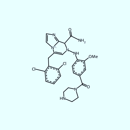 COc1cc(C(=O)N2CCNCC2)ccc1NN1C=C(Cc2c(Cl)cccc2Cl)[N+]2C=CN=C2C1C(N)=O